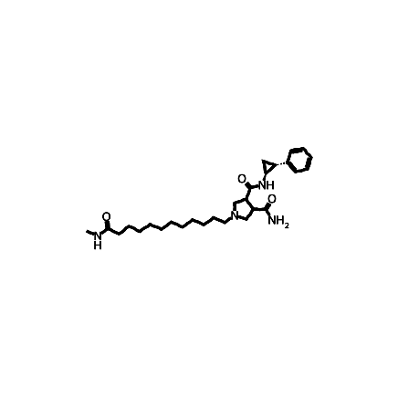 CNC(=O)CCCCCCCCCCCN1CC(C(N)=O)C(C(=O)N[C@H]2C[C@@H]2c2ccccc2)C1